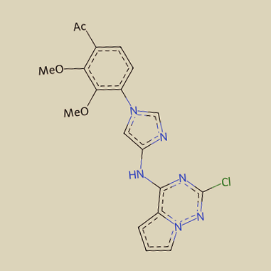 COc1c(C(C)=O)ccc(-n2cnc(Nc3nc(Cl)nn4cccc34)c2)c1OC